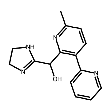 Cc1ccc(-c2ccccn2)c(C(O)C2=NCCN2)n1